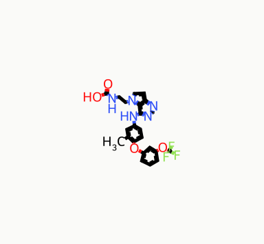 Cc1cc(Nc2ncnc3ccn(CCNC(=O)O)c23)ccc1Oc1cccc(OC(F)(F)F)c1